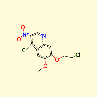 COc1cc2c(Cl)c([N+](=O)[O-])cnc2cc1OCCCl